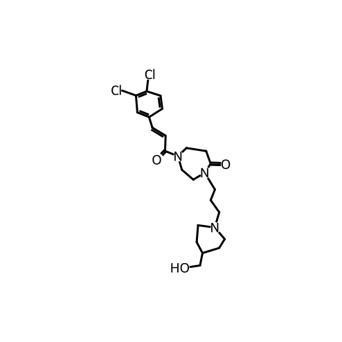 O=C(/C=C/c1ccc(Cl)c(Cl)c1)N1CCC(=O)N(CCCN2CCC(CO)CC2)CC1